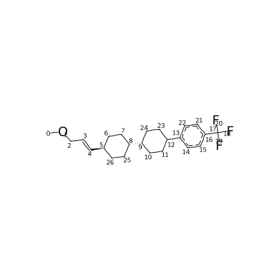 COC/C=C/[C@H]1CC[C@H](C2CCC(c3ccc(C(F)(F)F)cc3)CC2)CC1